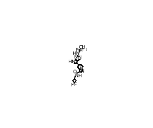 CC(F)(F)CNc1ncc2c(-c3ccn4ncc(C(=O)NCC5CC(F)(F)C5)c4c3)c[nH]c2n1